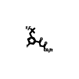 CCOC(=O)C(=O)CC(=O)c1cc(F)cc(CC(C)(C)C(F)(F)F)c1